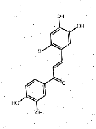 O=C(/C=C/c1cc(O)c(O)cc1Br)c1ccc(O)c(O)c1